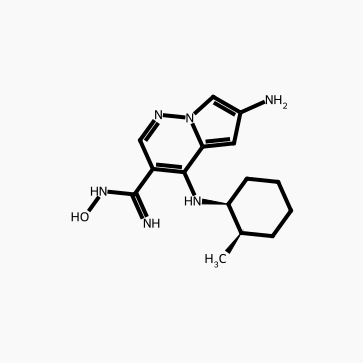 C[C@@H]1CCCC[C@@H]1Nc1c(C(=N)NO)cnn2cc(N)cc12